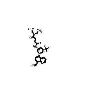 CCN(CC)C(=O)CCC(=O)N[C@@H]1C[C@H](C(F)(F)F)CN(c2ccc(C=N)c3ncccc23)C1